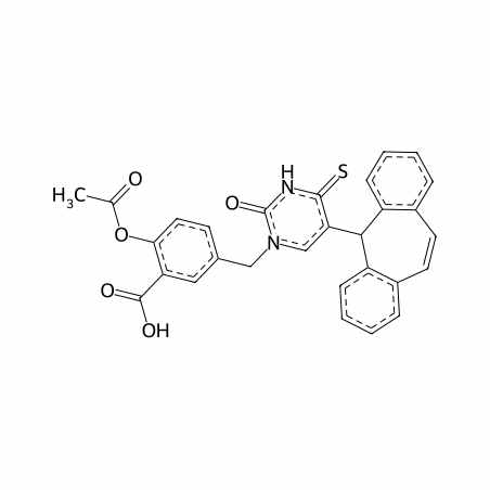 CC(=O)Oc1ccc(Cn2cc(C3c4ccccc4C=Cc4ccccc43)c(=S)[nH]c2=O)cc1C(=O)O